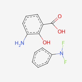 FN(F)c1ccccc1.Nc1cccc(C(=O)O)c1O